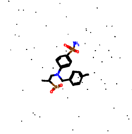 Cc1ccc(CN(CC(C)[SH](=O)=O)c2ccc(S(N)(=O)=O)cc2)cc1